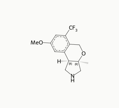 COc1cc2c(c(C(F)(F)F)c1)CO[C@@]1(C)CNC[C@@H]21